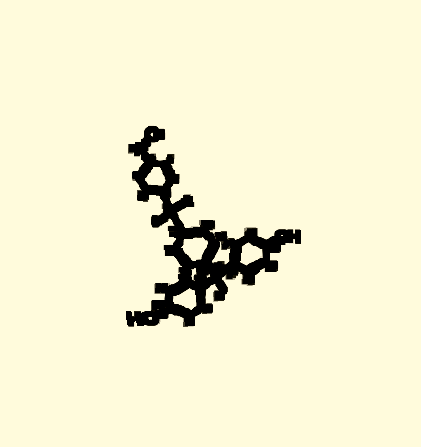 CC(C)(c1ccc(N=O)cc1)c1ccc(C(C)(c2ccc(O)cc2)c2ccc(O)cc2)cc1